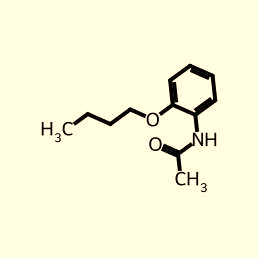 CCCCOc1ccccc1NC(C)=O